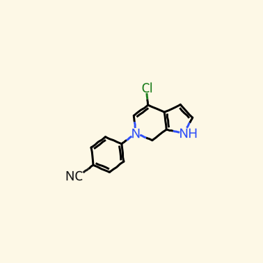 N#Cc1ccc(N2C=C(Cl)c3cc[nH]c3C2)cc1